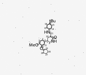 COc1ccc(C2CNC(=O)C(CNc3ccc(C(C)(C)C)cc3)C2)cc1OC1CCCC1